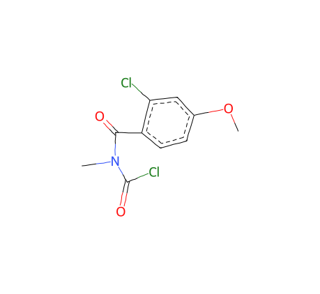 COc1ccc(C(=O)N(C)C(=O)Cl)c(Cl)c1